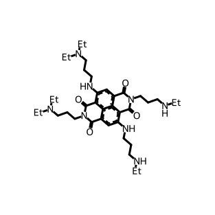 CCNCCCNc1cc2c3c(c(NCCCN(CC)CC)cc4c3c1C(=O)N(CCCNCC)C4=O)C(=O)N(CCCN(CC)CC)C2=O